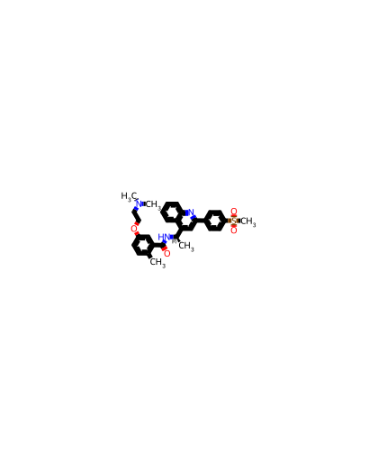 Cc1ccc(OCCN(C)C)cc1C(=O)N[C@H](C)c1cc(-c2ccc(S(C)(=O)=O)cc2)nc2ccccc12